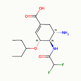 CCC(CC)O[C@@H]1C=C(C(=O)O)C[C@H](N)[C@H]1NC(=O)C(F)F